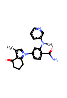 Cc1cn(-c2ccc(C(N)=O)c(N(C)c3cccnc3)c2)c2c1C(=O)CCC2